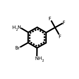 Nc1cc(C(F)(F)F)cc(N)c1Br